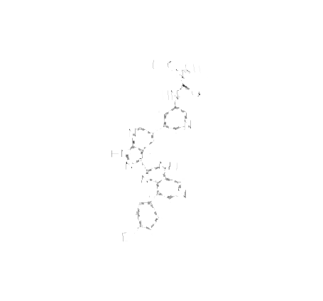 CCc1ccc(-c2cncc3[nH]c(-c4n[nH]c5ncc(-c6cncc(NC(=O)N(C)C)c6)cc45)nc23)cc1